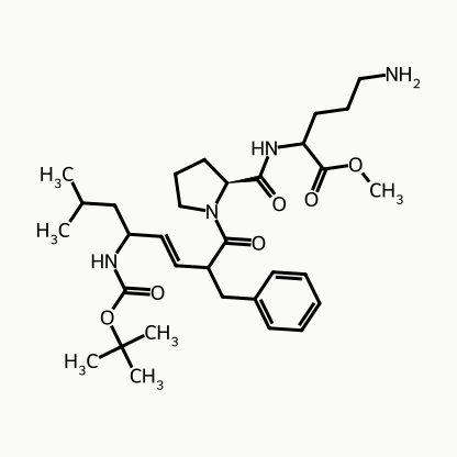 COC(=O)C(CCCN)NC(=O)[C@@H]1CCCN1C(=O)C(/C=C/C(CC(C)C)NC(=O)OC(C)(C)C)Cc1ccccc1